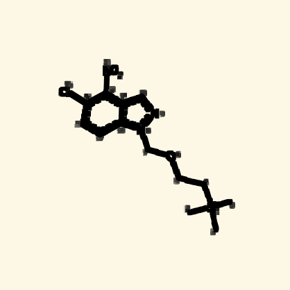 C[Si](C)(C)CCOCn1ncc2c([N+](=O)[O-])c(Cl)ccc21